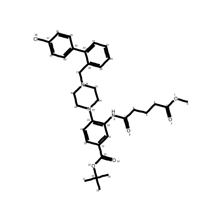 COC(=O)CCCC(=O)Nc1cc(C(=O)OC(C)(C)C)ccc1N1CCN(Cc2ccccc2-c2ccc(Cl)cc2)CC1